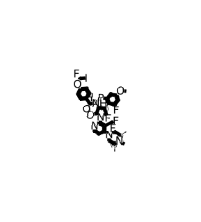 COc1cc(F)c([C@@H]2CN(c3nccc(N4C[C@@H](C)N(C)[C@@H](C)C4)c3C(F)(F)F)C(=O)[C@H]2NC(=O)c2ccc(OC(F)I)cc2)c(P)c1